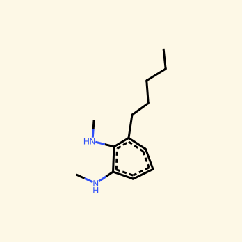 CCCCCc1cccc(NC)c1NC